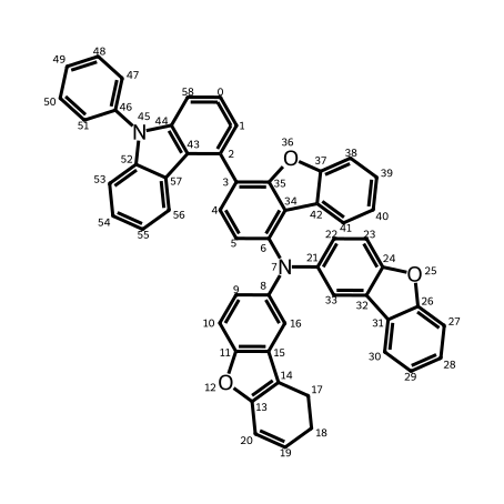 C1=C=C(c2ccc(N(c3ccc4oc5c(c4c3)CCC=C5)c3ccc4oc5ccccc5c4c3)c3c2oc2ccccc23)c2c(n(-c3ccccc3)c3ccccc23)C=1